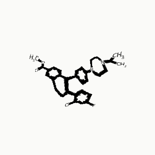 COC(=O)c1ccc2c(c1)CCC(c1ccc(F)cc1Cl)=C2c1ccc(N2CCN(C(C)C)CC2)cc1